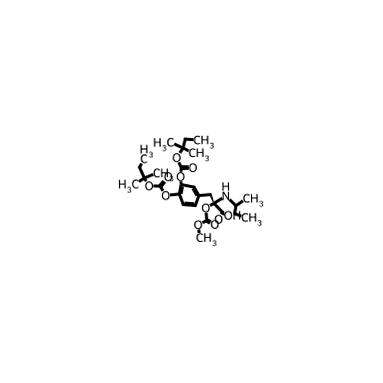 CCC(C)N[C@@](Cc1ccc(OC(=O)OC(C)(C)CC)c(OC(=O)OC(C)(C)CC)c1)(OC(=O)OC)C(=O)O